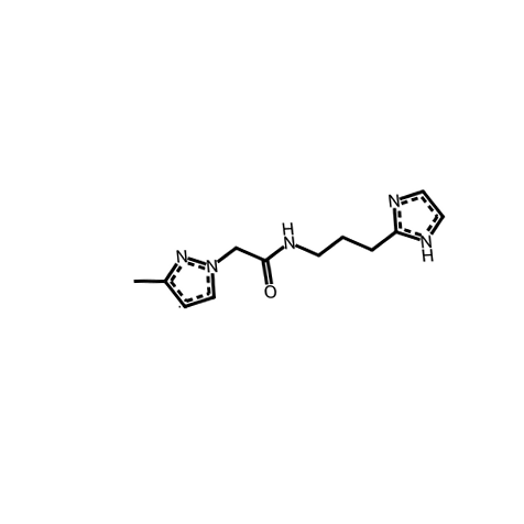 Cc1[c]cn(CC(=O)NCCCc2ncc[nH]2)n1